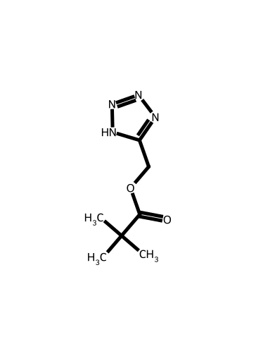 CC(C)(C)C(=O)OCc1nnn[nH]1